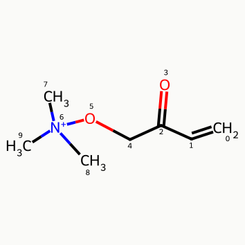 C=CC(=O)CO[N+](C)(C)C